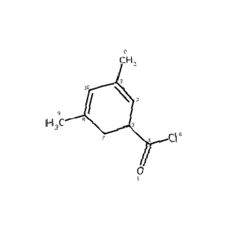 CC1=CC(C(=O)Cl)CC(C)=C1